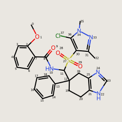 COc1ccccc1C(=O)NC(C1(c2ccccc2)CCc2[nH]cnc2C1)S(=O)(=O)c1c(C)nn(C)c1Cl